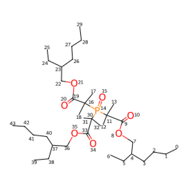 CCCCC(CC)COC(=O)C(C)(C)P(=O)(C(C)(C)C(=O)OCC(CC)CCCC)C(C)(C)C(=O)OCC(CC)CCCC